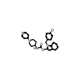 O=C(NC1CCN(c2ccncc2)CC1)Oc1cc2ccccc2n1Cc1ccc(Cl)cc1